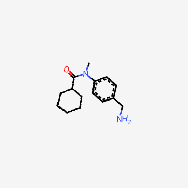 CN(C(=O)C1CCCCC1)c1ccc(CN)cc1